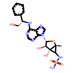 NS(=O)(=O)NC1[C@H]2O[C@@H](n3cnc4c(N[C@H](CO)c5ccccc5)ncnc43)[C@H](O)[C@]12O